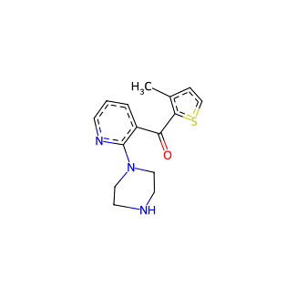 Cc1ccsc1C(=O)c1cccnc1N1CCNCC1